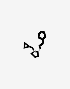 C(=C\c1ccccc1)/C[C@@H]1CCCN1CC1CC1